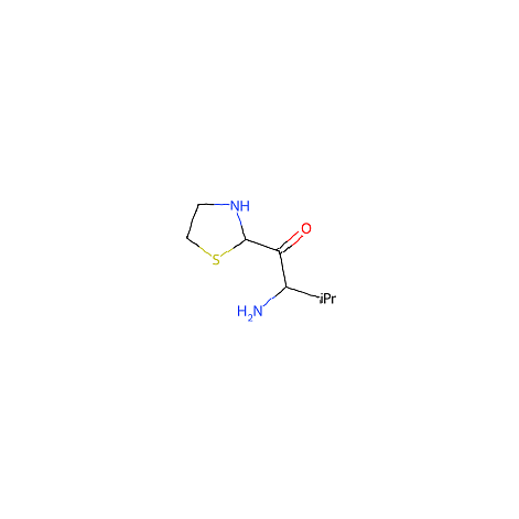 CC(C)C(N)C(=O)C1NCCS1